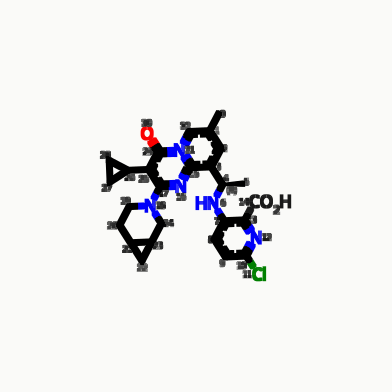 Cc1cc([C@@H](C)Nc2ccc(Cl)nc2C(=O)O)c2nc(N3CCC4CC4C3)c(C3CC3)c(=O)n2c1